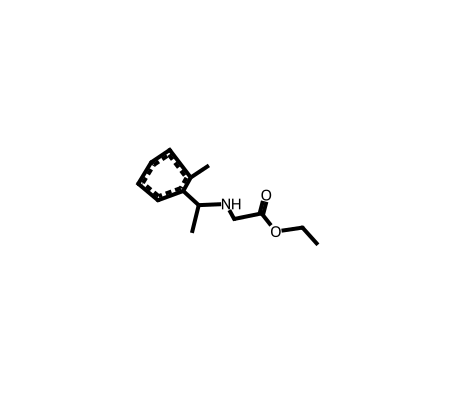 CCOC(=O)CNC(C)c1ccccc1C